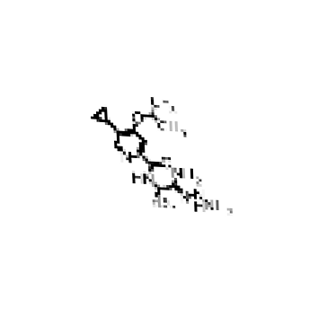 C[C@H](Oc1cc(C(=O)NC(/C(N)=N/NN)C(C)(C)C)ncc1C1CC1)C(F)(F)F